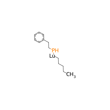 CCCC[CH2][Lu][PH]CCc1ccccc1